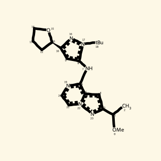 COC(C)c1cc2c(Nc3cc([C@H]4C[CH]CO4)nn3C(C)(C)C)nccn2n1